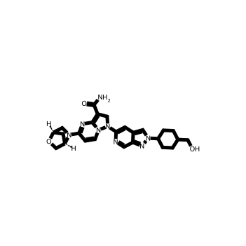 NC(=O)C1=C2N=C(N3C[C@H]4C[C@@H]3CO4)C=CN2N(c2cc3cn(C4CCC(CO)CC4)nc3cn2)C1